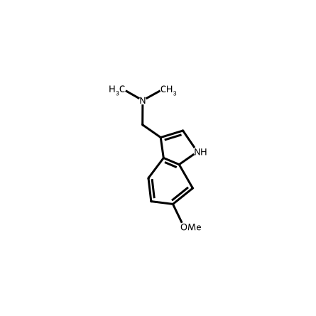 COc1ccc2c(CN(C)C)c[nH]c2c1